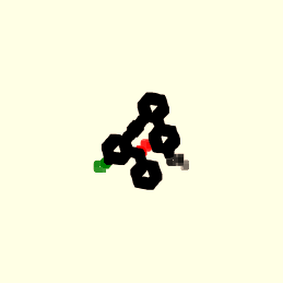 Cc1ccc(-c2ccccc2C#Cc2ccc(Cl)cc2C(=O)c2ccccc2)cc1